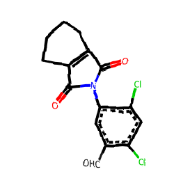 O=Cc1cc(N2C(=O)C3=C(CCCC3)C2=O)c(Cl)cc1Cl